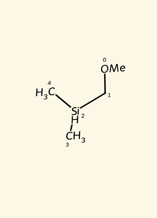 COC[SiH](C)C